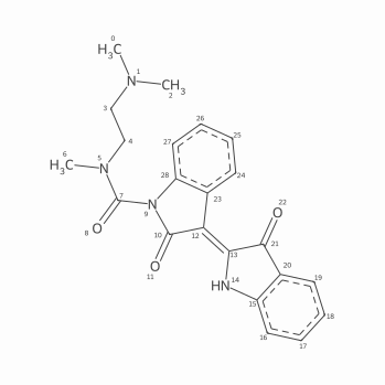 CN(C)CCN(C)C(=O)N1C(=O)/C(=C2\Nc3ccccc3C2=O)c2ccccc21